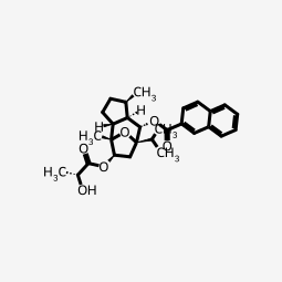 CC(C)[C@@]12C[C@@H](OC(=O)[C@@H](C)O)[C@@](C)(O1)[C@@H]1CC[C@@H](C)[C@H]1[C@@H]2OC(=O)c1ccc2ccccc2c1